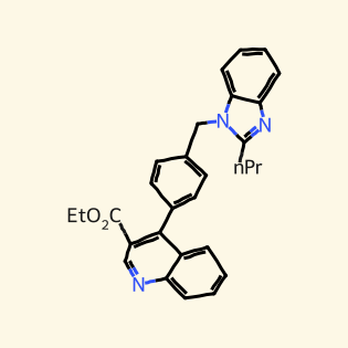 CCCc1nc2ccccc2n1Cc1ccc(-c2c(C(=O)OCC)cnc3ccccc23)cc1